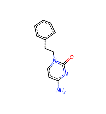 Nc1ccn(CCc2ccccc2)c(=O)n1